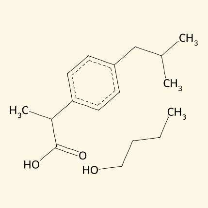 CC(C)Cc1ccc(C(C)C(=O)O)cc1.CCCCO